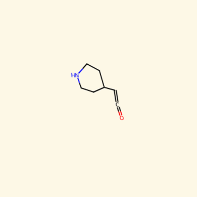 O=C=[C]C1CCNCC1